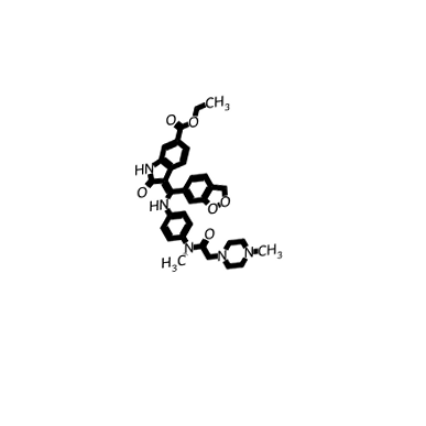 CCOC(=O)c1ccc2c(c1)NC(=O)/C2=C(\Nc1ccc(N(C)C(=O)CN2CCN(C)CC2)cc1)c1ccc2c(c1)OOC2